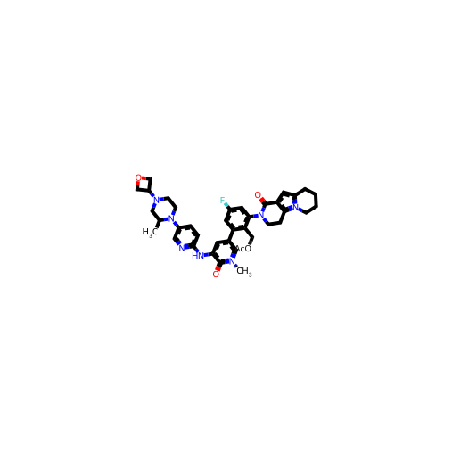 CC(=O)OCc1c(-c2cc(Nc3ccc(N4CCN(C5COC5)CC4C)cn3)c(=O)n(C)c2)cc(F)cc1N1CCc2c(cc3n2CCCC3)C1=O